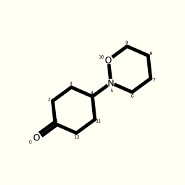 O=C1CCC(N2CCCCO2)CC1